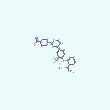 CC(C)c1ccccc1Sc1ccc(-c2ccnc(N3CCC(C(N)=O)CC3)c2)cc1C(F)(F)F